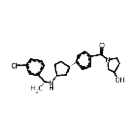 C[C@@H](N[C@H]1CC[C@H](c2ccc(C(=O)N3CCC(O)C3)cc2)C1)c1cccc(Cl)c1